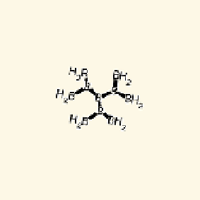 BB(B)B(B(B)B)B(B)B